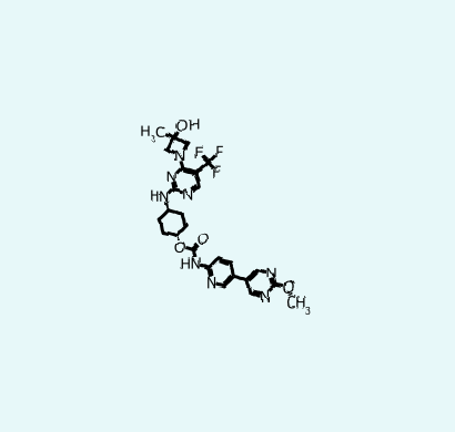 COc1ncc(-c2ccc(NC(=O)O[C@H]3CC[C@H](Nc4ncc(C(F)(F)F)c(N5CC(C)(O)C5)n4)CC3)nc2)cn1